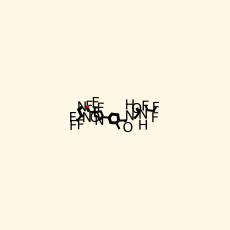 Cc1cc(C2=NOC(c3cncc(C(F)(F)F)n3)(C(F)(F)F)C2)ccc1C(=O)NCC(=O)NC(F)C(F)F